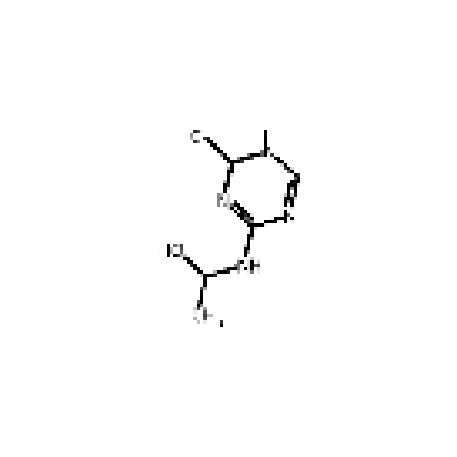 CC(O)NC1=N[C](Cl)NC=N1